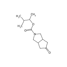 CC(C)C(C)OC(=O)N1CC2CC(=O)CC2C1